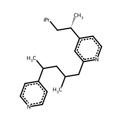 CC(C)C[C@H](C)c1ccnc(CC(C)CC(C)c2ccncc2)c1